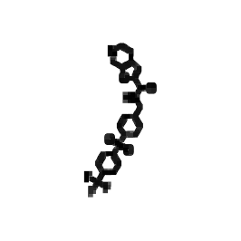 O=C(NCc1ccc(S(=O)(=O)c2ccc(C(F)(F)F)cc2)cc1)c1cc2ccncc2o1